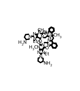 C=C1N(CC2=NC(C)(Cc3nc(Cn4c(=O)c5c(nc(N6CCC[C@@H](N)C6)n5CC)n(C)c4=O)nc4ccccc34)c3ccccc3N2)C(=O)c2c(nc(N3CCC[C@@H](N)C3)n2CC)N1C